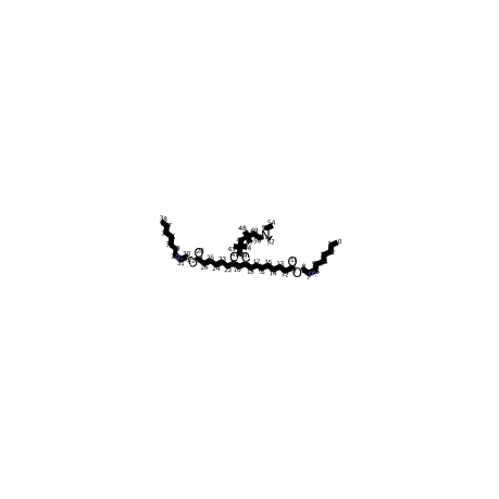 CCCCCC/C=C\COC(=O)CCCCCCCC(CCCCCCCC(=O)OC/C=C\CCCCCC)OC(=O)C(C)(C)CC(C)(C)CCN(C)CC